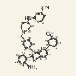 N#Cc1ccnc(NC2CCN(Cc3ccc(-n4c(-c5cccnc5N)nc5ccc(-c6cccc(Cl)c6)nc54)cc3)CC2)n1